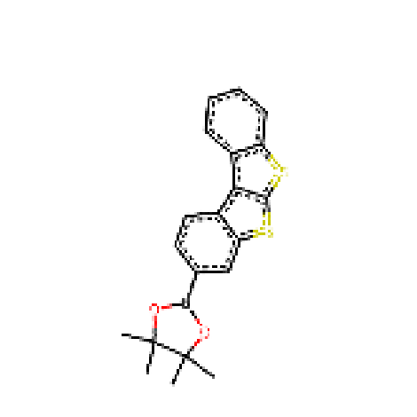 CC1(C)OB(c2ccc3c(c2)sc2sc4ccccc4c23)OC1(C)C